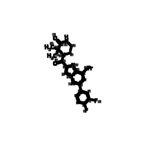 CC(C)c1cc(-c2ccc(F)c(F)c2)nn2cc(C(=O)N3CCNC(=O)C3(C)C)nc12